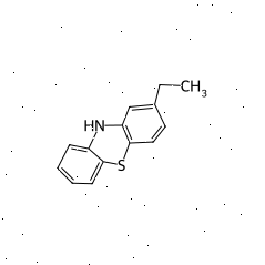 CCc1ccc2c(c1)Nc1ccccc1S2